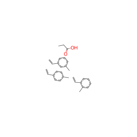 C=Cc1ccc(C)cc1.C=Cc1cccc(C)c1.C=Cc1ccccc1C.CCC(=O)O